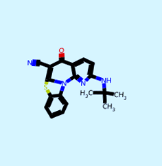 CC(C)(C)Nc1ccc2c(=O)c(C#N)c3sc4ccccc4n3c2n1